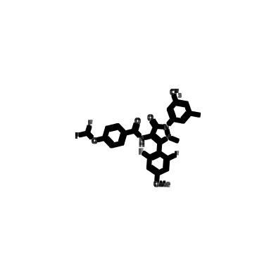 COc1cc(F)c(-c2c(NC(=O)c3ccc(OC(F)F)cc3)c(=O)n(-c3cc(C)cc(C(F)(F)F)c3)n2C)c(F)c1